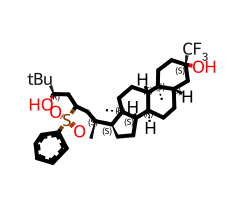 C[C@@H](CC(C[C@@H](O)C(C)(C)C)S(=O)(=O)c1ccccc1)[C@@H]1CC[C@H]2[C@@H]3CC[C@H]4C[C@](O)(C(F)(F)F)CC[C@]4(C)[C@H]3CC[C@@]21C